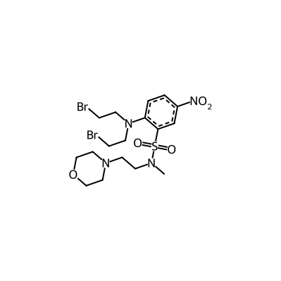 CN(CCN1CCOCC1)S(=O)(=O)c1cc([N+](=O)[O-])ccc1N(CCBr)CCBr